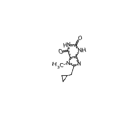 Cn1c(CC2CC2)nc2[nH]c(=O)[nH]c(=O)c21